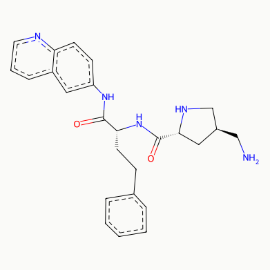 NC[C@@H]1CN[C@@H](C(=O)N[C@H](CCc2ccccc2)C(=O)Nc2ccc3ncccc3c2)C1